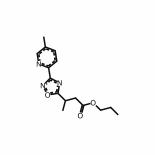 CCCOC(=O)CC(C)c1nc(-c2ccc(C)cn2)no1